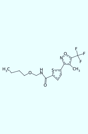 CCCCOCNC(=O)c1ccc(-c2noc(C(F)(F)F)c2C)s1